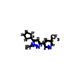 CC(C)n1nc(-c2cncc(C(F)(F)F)c2)cc1C1CCCC1